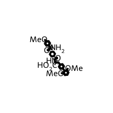 COc1ccc(N(N)C(=O)[C@H]2CC[C@H](C(=O)N[C@@H](Cc3ccc(-c4c(OC)cccc4OC)cc3)C(=O)O)CC2)cc1